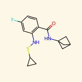 O=C(NC12CC(C1)C2)c1ccc(F)cc1NSC1CC1